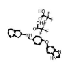 O=C(O)C(F)(F)F.O=C(O)C(F)(F)F.c1ccc2c(c1)CC(NCc1ccc(Oc3ccc4[nH]cnc4c3)cc1)C2